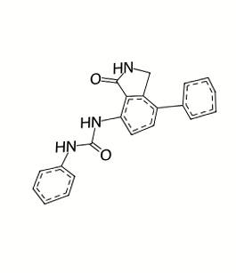 O=C(Nc1ccccc1)Nc1ccc(-c2ccccc2)c2c1C(=O)NC2